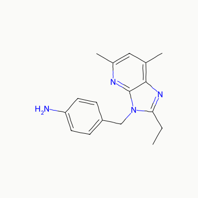 CCc1nc2c(C)cc(C)nc2n1Cc1ccc(N)cc1